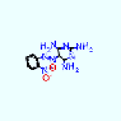 NC1=NC(N)C(/N=N/c2ccccc2[N+](=O)[O-])C(N)=N1